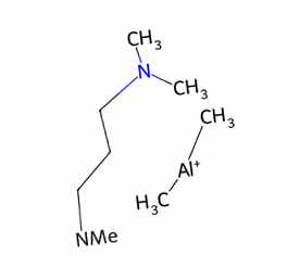 C[N-]CCCN(C)C.[CH3][Al+][CH3]